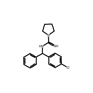 N=C(NC(c1ccccc1)c1ccc(Cl)cc1)N1CCCC1